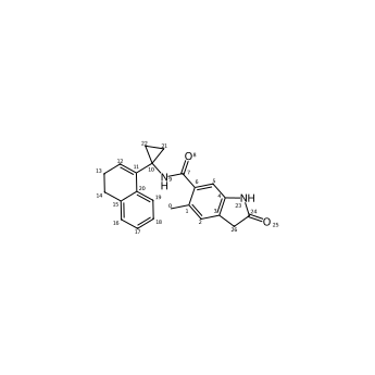 Cc1cc2c(cc1C(=O)NC1(C3=CCCc4ccccc43)CC1)NC(=O)C2